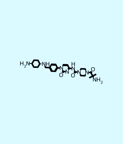 CC(C)(N)C(=O)N1CCN(C(=O)Nc2ccn(-c3ccc(CN[C@H]4CC[C@H](N)CC4)cc3)c(=O)n2)CC1